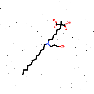 CCCCCCCCCCCCN(CCCO)CCCCCCC(C)(C(=O)O)C(=O)O